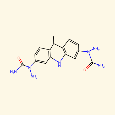 CC1c2ccc(N(N)C(N)=O)cc2Nc2cc(N(N)C(N)=O)ccc21